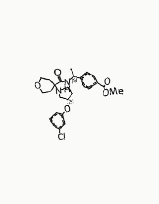 COC(=O)c1ccc([C@H](C)NC(=O)C2(N3CC[C@H](Oc4cccc(Cl)c4)C3)CCOCC2)cc1